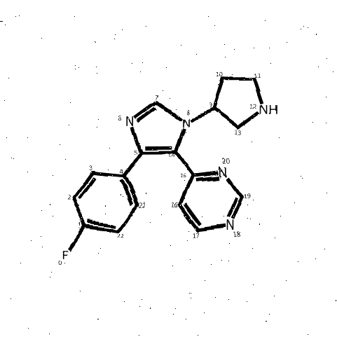 Fc1ccc(-c2ncn(C3CCNC3)c2-c2ccncn2)cc1